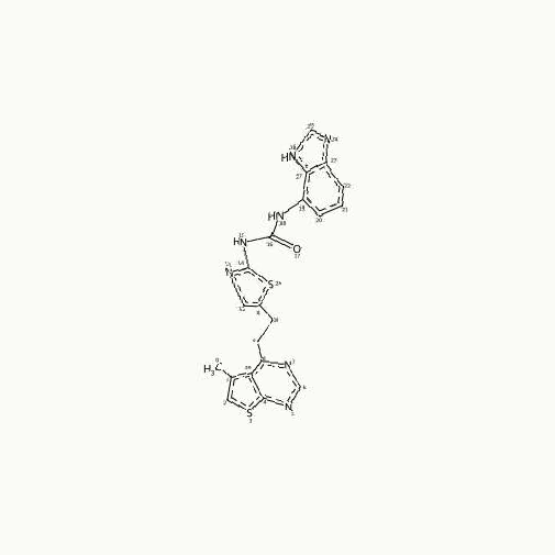 Cc1csc2ncnc(CCc3cnc(NC(=O)Nc4cccc5nc[nH]c45)s3)c12